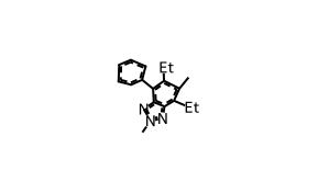 CCc1c(C)c(CC)c2nn(C)nc2c1-c1ccccc1